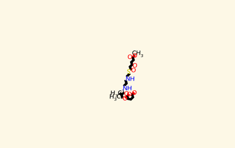 COC(=O)CCC(=O)CC(=O)SCCNCCCNC[C@@H]1OC2(CCCC(=O)O2)OCC1(C)C